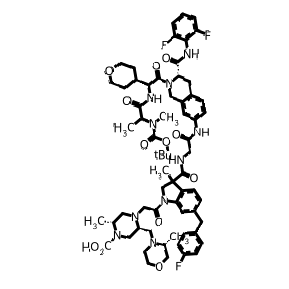 CC(C(=O)NC(C(=O)N1Cc2cc(NC(=O)CNC(=O)C3(C)CN(C(=O)CN4C[C@@H](C)N(C(=O)O)C[C@@H]4CN4CCOC[C@H]4C)c4cc(Cc5ccc(F)cc5)ccc43)ccc2C[C@H]1C(=O)Nc1c(F)cccc1F)C1CCOCC1)N(C)C(=O)OC(C)(C)C